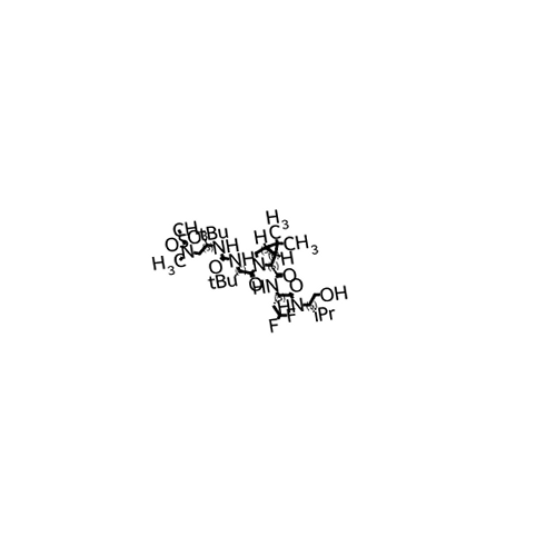 CC(C)[C@@H](CO)NC(=O)[C@H](CC(F)F)NC(=O)[C@@H]1[C@@H]2[C@H](CN1C(=O)[C@@H](NC(=O)N[C@H](CN(C)S(C)(=O)=O)C(C)(C)C)C(C)(C)C)C2(C)C